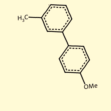 COc1ccc(-c2cc[c]c(C)c2)cc1